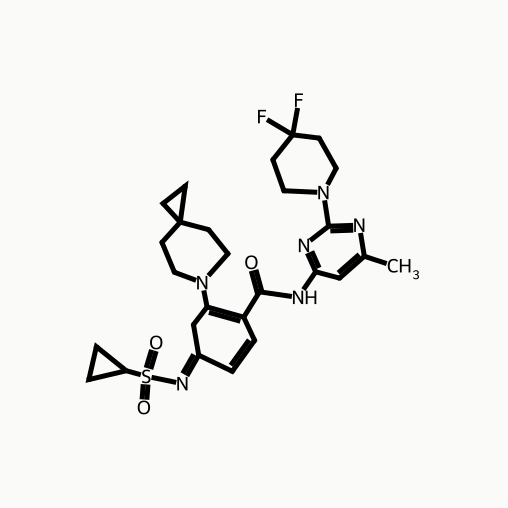 Cc1cc(NC(=O)C2=C(N3CCC4(CC3)CC4)CC(=NS(=O)(=O)C3CC3)C=C2)nc(N2CCC(F)(F)CC2)n1